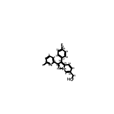 Cc1cccc(-c2nn3cc(CO)ccc3c2-c2ccc(F)cc2)n1